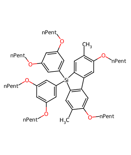 CCCCCOc1cc(OCCCCC)cc([Si]2(c3cc(OCCCCC)cc(OCCCCC)c3)c3cc(C)c(OCCCCC)cc3-c3cc(OCCCCC)c(C)cc32)c1